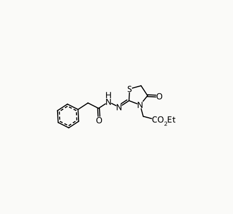 CCOC(=O)CN1C(=O)CSC1=NNC(=O)Cc1ccccc1